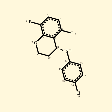 Fc1ccc(F)c2c1OCC[C@H]2Sc1ccc(Cl)cc1